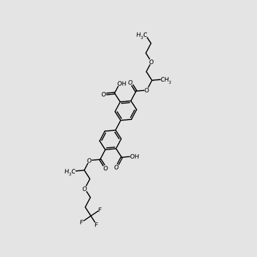 CCCOCC(C)OC(=O)c1ccc(-c2ccc(C(=O)OC(C)COCCC(F)(F)F)c(C(=O)O)c2)cc1C(=O)O